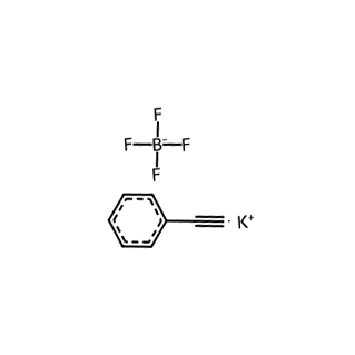 F[B-](F)(F)F.[C]#Cc1ccccc1.[K+]